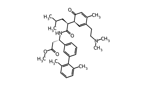 COC(=O)C[C@H](NC(=O)[C@@H](CC(C)C)[C@@H]1C=C(CCN(C)C)C(C)=CC1=O)c1cccc(-c2c(C)cccc2C)c1